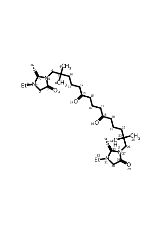 CCN1CC(=O)N(CC(C)(C)CCCC(=O)CCCC(=O)CCCC(C)(C)CN2C(=O)CN(CC)C2=S)C1=S